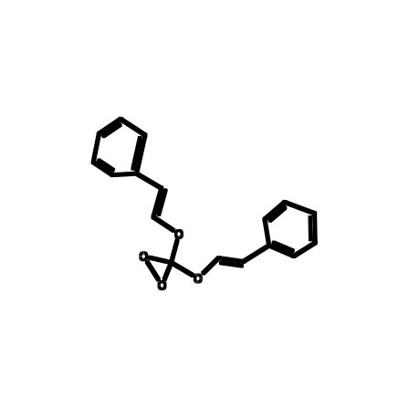 C(=Cc1ccccc1)OC1(OC=Cc2ccccc2)OO1